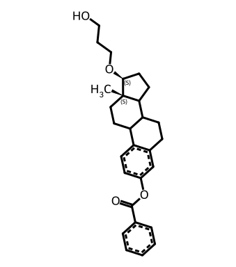 C[C@]12CCC3c4ccc(OC(=O)c5ccccc5)cc4CCC3C1CC[C@@H]2OCCCO